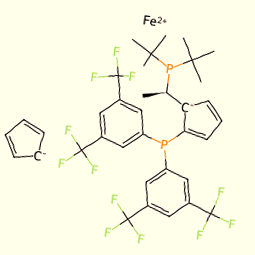 C[C@H]([c-]1cccc1P(c1cc(C(F)(F)F)cc(C(F)(F)F)c1)c1cc(C(F)(F)F)cc(C(F)(F)F)c1)P(C(C)(C)C)C(C)(C)C.[Fe+2].c1cc[cH-]c1